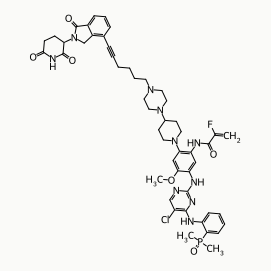 C=C(F)C(=O)Nc1cc(Nc2ncc(Cl)c(Nc3ccccc3P(C)(C)=O)n2)c(OC)cc1N1CCC(N2CCN(CCCCC#Cc3cccc4c3CN(C3CCC(=O)NC3=O)C4=O)CC2)CC1